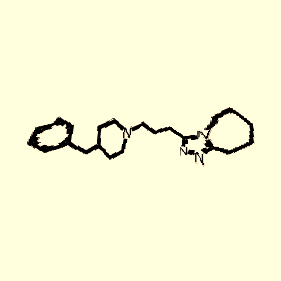 c1ccc(CC2CCN(CCCc3nnc4n3CCCCC4)CC2)cc1